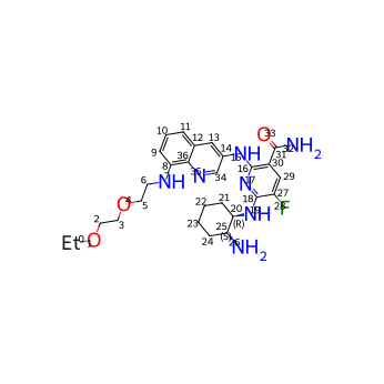 CCOCCOCCNc1cccc2cc(Nc3nc(N[C@@H]4CCCC[C@@H]4N)c(F)cc3C(N)=O)cnc12